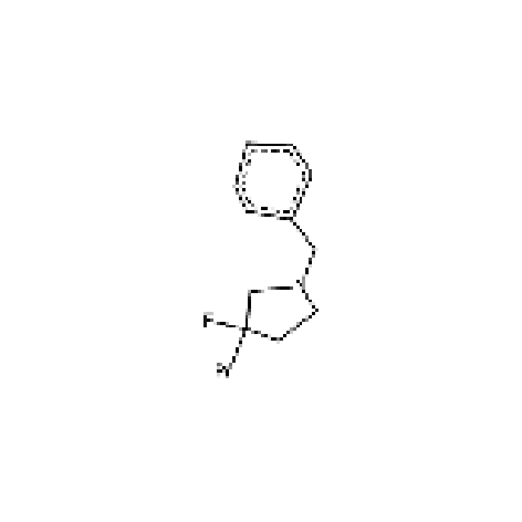 CC(C)C1(F)CCN(Cc2ccccc2)C1